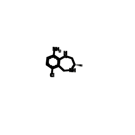 C[C@H]1CNc2c(N)ccc(Cl)c2CN1